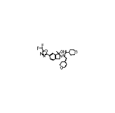 CC1(O)c2cc(-c3nnc(C(F)F)o3)ccc2CN1N(CC1CCOCC1)CC1CCOCC1